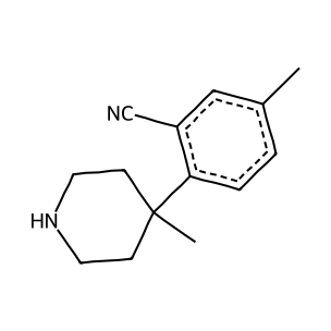 Cc1ccc(C2(C)CCNCC2)c(C#N)c1